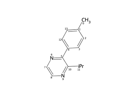 Cc1ccc(-c2nccnc2C(C)C)cc1